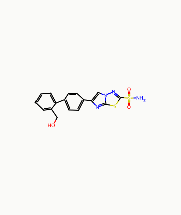 NS(=O)(=O)c1nn2cc(-c3ccc(-c4ccccc4CO)cc3)nc2s1